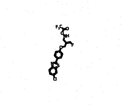 O=C(ONC/C(=C/F)COc1ccc(-c2nc3ccc(Cl)cc3s2)cc1)C(F)(F)F